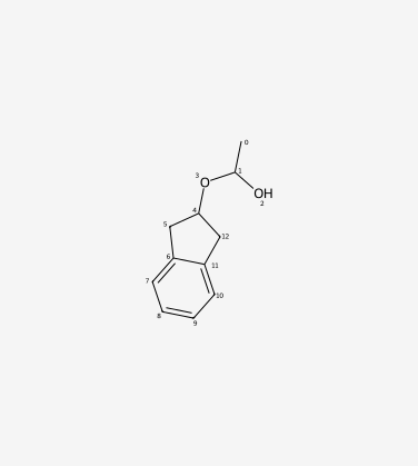 CC(O)OC1Cc2ccccc2C1